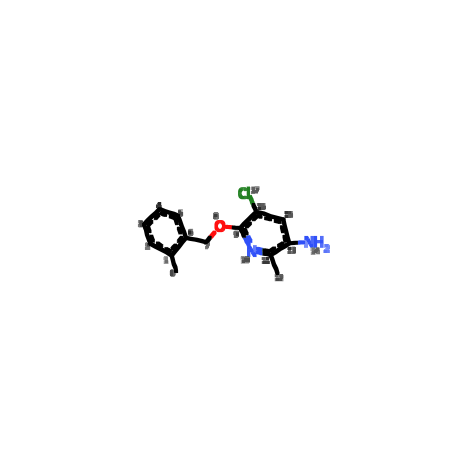 Cc1ccccc1COc1nc(C)c(N)cc1Cl